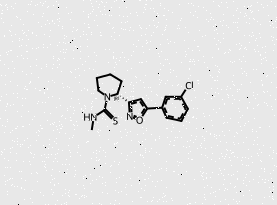 CNC(=S)N1CCCC[C@@H]1c1cc(-c2cccc(Cl)c2)on1